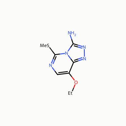 CCOc1cnc(SC)n2c(N)nnc12